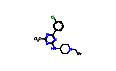 CC(C)CN1CCC(Nc2nc(-c3cccc(Cl)c3)nc(C(Cl)(Cl)Cl)n2)CC1